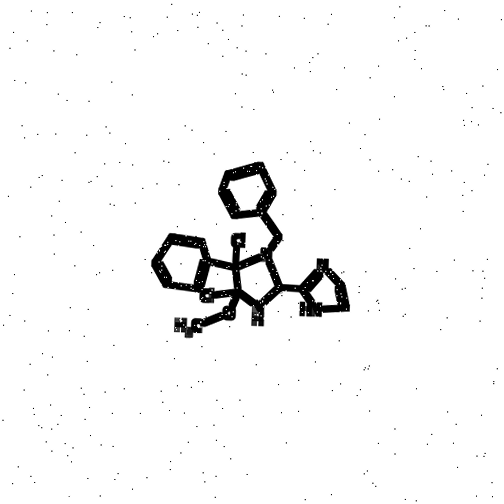 COC1(Cl)N[C](c2ncc[nH]2)N(Cc2ccccc2)C1(Cl)c1ccccc1